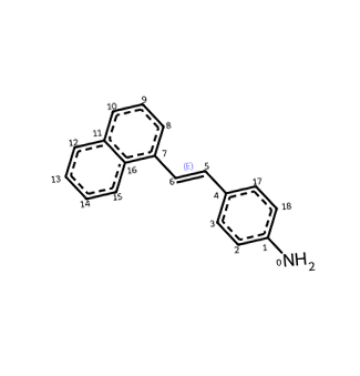 Nc1ccc(/C=C/c2cccc3ccccc23)cc1